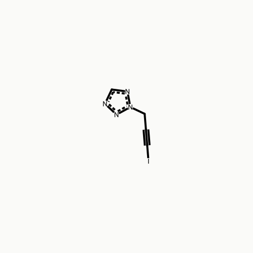 IC#CCn1ncnn1